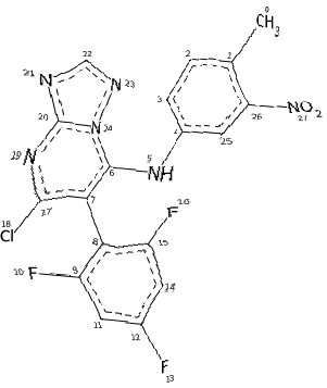 Cc1ccc(Nc2c(-c3c(F)cc(F)cc3F)c(Cl)nc3ncnn23)cc1[N+](=O)[O-]